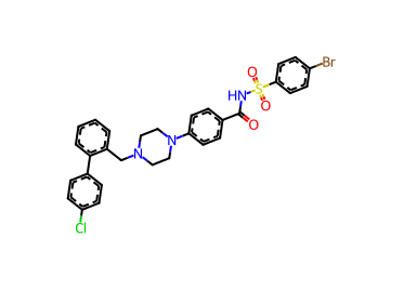 O=C(NS(=O)(=O)c1ccc(Br)cc1)c1ccc(N2CCN(Cc3ccccc3-c3ccc(Cl)cc3)CC2)cc1